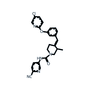 CC1CN(C(=O)Nc2ccc(C#N)nc2)CC/C1=C\c1cccc(Oc2ccc(Cl)cn2)c1